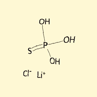 OP(O)(O)=S.[Cl-].[Li+]